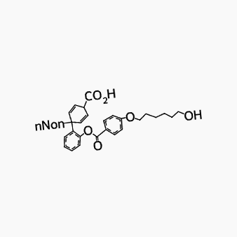 CCCCCCCCCC1(c2ccccc2OC(=O)c2ccc(OCCCCCCO)cc2)C=CC(C(=O)O)C=C1